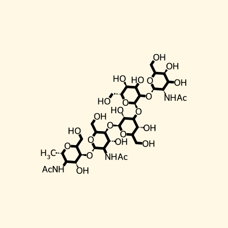 CC(=O)NC1[C@H](O[C@@H]2C(CO)O[C@@H](C)C(NC(C)=O)[C@H]2O)OC(CO)[C@@H](O[C@@H]2OC(CO)[C@@H](O)C(O[C@H]3O[C@H](CO)[C@@H](O)C(O)C3O[C@@H]3OC(CO)[C@@H](O)C(O)[C@@H]3NC(C)=O)[C@H]2O)[C@@H]1O